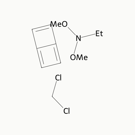 CCN(OC)OC.ClCCl.c1cc2ccc1-2